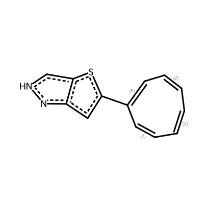 C1=C\C=C/C(c2cc3n[nH]cc3s2)=C\C=C/1